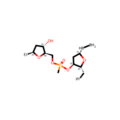 BB[C@H]1C[C@H](OP(C)(=O)OC[C@H]2O[C@@H](CC)C[C@@H]2O)[C@@H](CC(C)C)O1